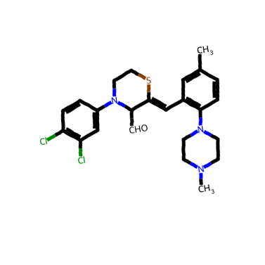 Cc1ccc(N2CCN(C)CC2)c(C=C2SCCN(c3ccc(Cl)c(Cl)c3)C2C=O)c1